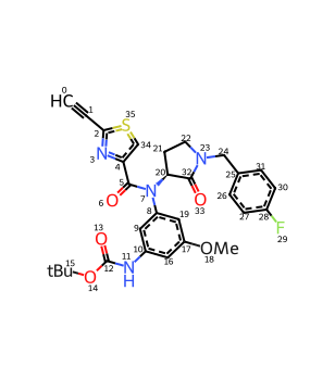 C#Cc1nc(C(=O)N(c2cc(NC(=O)OC(C)(C)C)cc(OC)c2)[C@H]2CCN(Cc3ccc(F)cc3)C2=O)cs1